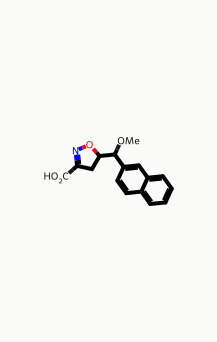 COC(c1ccc2ccccc2c1)C1CC(C(=O)O)=NO1